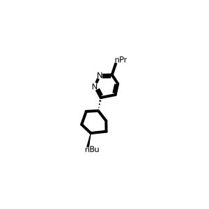 CCCC[C@H]1CC[C@H](c2ccc(CCC)nn2)CC1